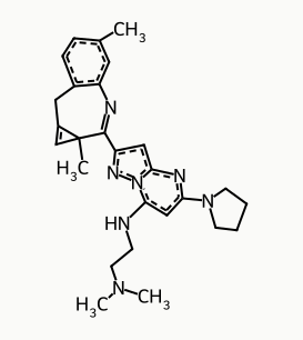 Cc1ccc2c(c1)N=C(c1cc3nc(N4CCCC4)cc(NCCN(C)C)n3n1)C1(C)C=C1C2